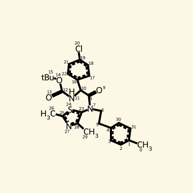 Cc1ccc(CCN(C(=O)C(NC(=O)OC(C)(C)C)c2ccc(Cl)cc2)c2sc(C)nc2C)cc1